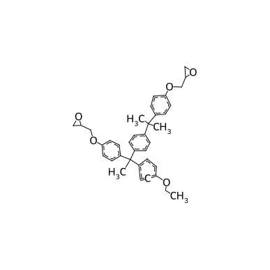 CCOc1ccc(C(C)(c2ccc(OCC3CO3)cc2)c2ccc(C(C)(C)c3ccc(OCC4CO4)cc3)cc2)cc1